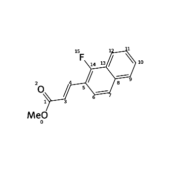 COC(=O)/C=C/c1ccc2ccccc2c1F